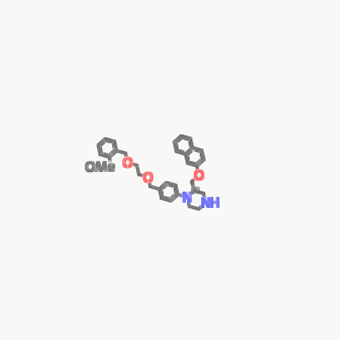 COc1ccccc1COCCOCc1ccc(N2CCNC[C@@H]2COc2ccc3ccccc3c2)cc1